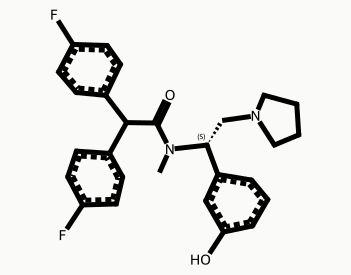 CN(C(=O)C(c1ccc(F)cc1)c1ccc(F)cc1)[C@H](CN1CCCC1)c1cccc(O)c1